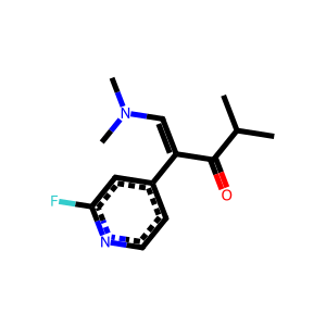 CC(C)C(=O)/C(=C/N(C)C)c1ccnc(F)c1